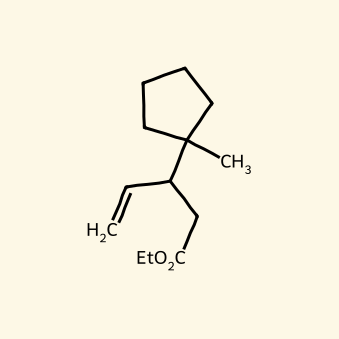 C=CC(CC(=O)OCC)C1(C)CCCC1